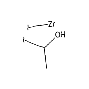 OC(I)I.[Zr][I]